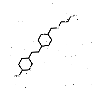 CCCCC1CCC(CCC2CCC(COCCOC)CC2)CC1